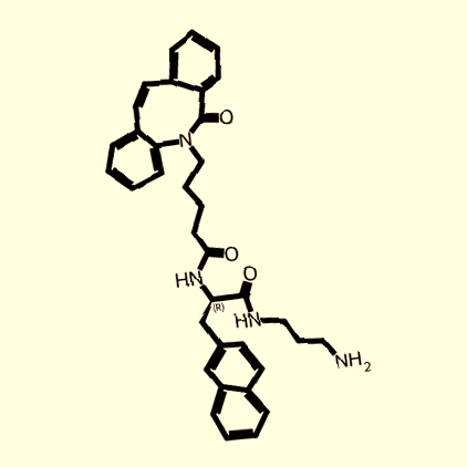 NCCCNC(=O)[C@@H](Cc1ccc2ccccc2c1)NC(=O)CCCCN1C(=O)c2ccccc2C=Cc2ccccc21